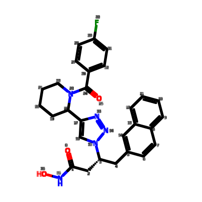 O=C(C[C@@H](Cc1ccc2ccccc2c1)n1cc(C2CCCCN2C(=O)c2ccc(F)cc2)nn1)NO